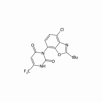 CC(C)(C)c1nc2c(Cl)ccc(-n3c(=O)cc(C(F)(F)F)[nH]c3=O)c2o1